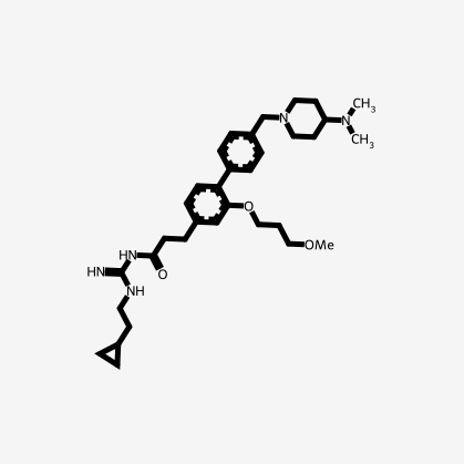 COCCCOc1cc(CCC(=O)NC(=N)NCCC2CC2)ccc1-c1ccc(CN2CCC(N(C)C)CC2)cc1